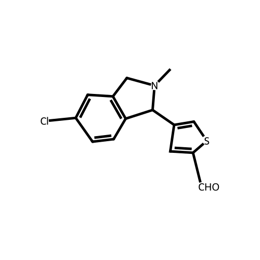 CN1Cc2cc(Cl)ccc2C1c1csc(C=O)c1